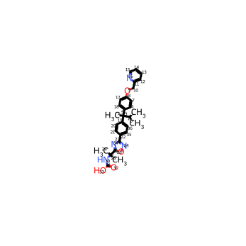 CC(C)C(C)(c1ccc(OCc2ccccn2)cc1)c1ccc(-c2noc(C(C)(C)NC(=O)O)n2)cc1